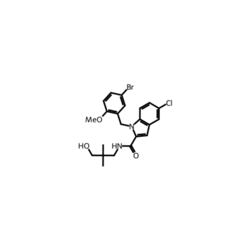 COc1ccc(Br)cc1Cn1c(C(=O)NCC(C)(C)CO)cc2cc(Cl)ccc21